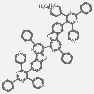 C=N/C=C\C(=C/C)c1nc(-c2ccccc2)nc(-c2ccncc2)c1-c1ccc2oc3c(-c4cc(-c5ccccc5)nc5c4oc4ccc(-c6c(-c7ccncc7)nc(-c7ccccc7)nc6-c6ccncc6)cc45)nc(-c4ccccc4)cc3c2c1